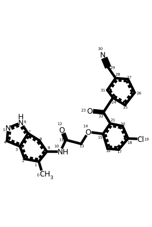 Cc1cc2cn[nH]c2cc1NC(=O)COc1ccc(Cl)cc1C(=O)c1cccc(C#N)c1